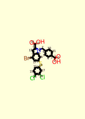 O=C(O)c1ccc(Cn2c(C(=O)O)cc3c(Br)cc(Sc4ccc(Cl)c(Cl)c4)cc32)cc1